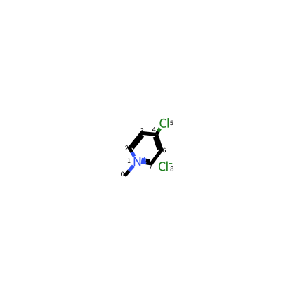 C[n+]1ccc(Cl)cc1.[Cl-]